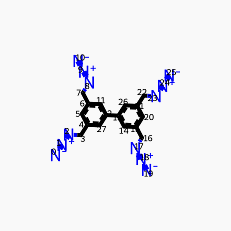 [N-]=[N+]=NCc1cc(CN=[N+]=[N-])cc(-c2cc(CN=[N+]=[N-])cc(CN=[N+]=[N-])c2)c1